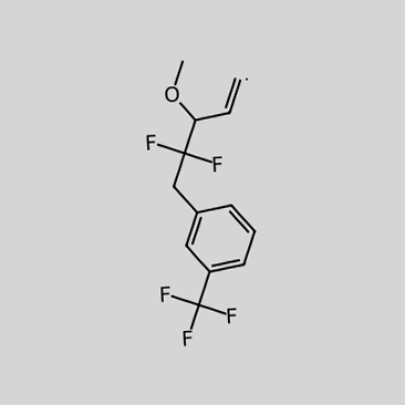 [CH]=CC(OC)C(F)(F)Cc1cccc(C(F)(F)F)c1